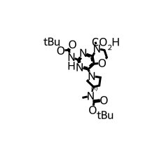 CN(C(=O)OC(C)(C)C)[C@@H]1CCN(c2nc(NC(=O)OC(C)(C)C)nc3c2OCCN3C(=O)O)C1